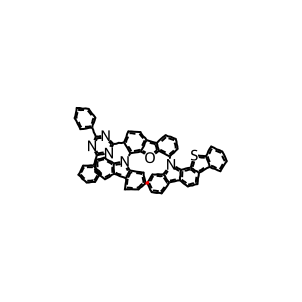 c1ccc(-c2nc(-c3ccccc3)nc(-c3ccc4c(oc5c(-n6c7ccccc7c7ccc8c9ccccc9sc8c76)cccc54)c3-n3c4ccccc4c4ccccc43)n2)cc1